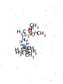 CCO[SiH](CC(C)CN1CCN([Si](C)(C)C(C)(C)C)CC1)OCC